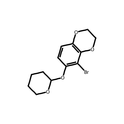 Brc1c(OC2CCCCO2)ccc2c1OCCO2